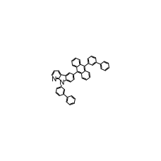 c1ccc(-c2cccc(-c3c4ccccc4c(-c4ccc5c(c4)c4cccnc4n5-c4cccc(-c5ccccc5)c4)c4ccccc34)c2)cc1